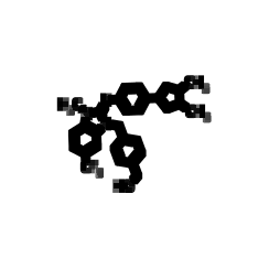 CC1CC(c2ccc(/N=c3/n(C)c4ccc(C(F)(F)F)cc4n3Cc3ccc(CO)cc3)cc2)CC1C